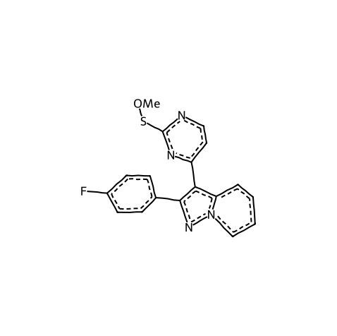 COSc1nccc(-c2c(-c3ccc(F)cc3)nn3ccccc23)n1